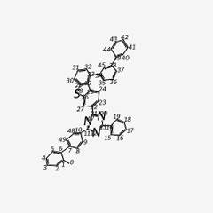 Cc1ccccc1-c1ccc(-c2nc(-c3ccccc3)nc(-c3ccc4c(c3)sc3cccc(-c5cccc(-c6ccccc6)c5)c34)n2)cc1